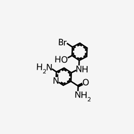 NC(=O)c1cnc(N)cc1Nc1cccc(Br)c1O